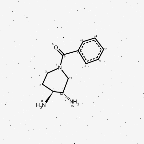 N[C@H]1CCN(C(=O)c2ccccc2)C[C@@H]1N